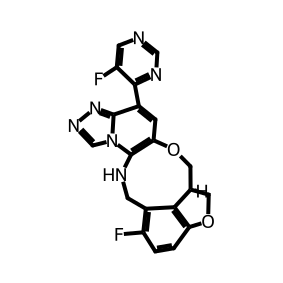 Fc1cncnc1-c1cc2c(n3cnnc13)NCc1c(F)ccc3c1[C@H](CO3)CO2